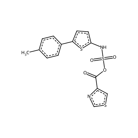 Cc1ccc(-c2ccc(NS(=O)(=O)OC(=O)c3cscn3)s2)cc1